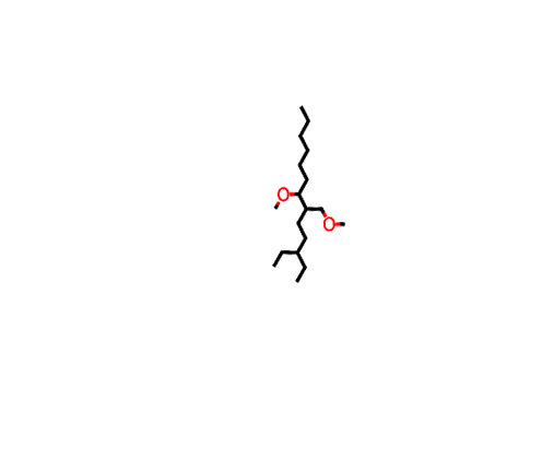 CCCCCCC(OC)C(CCC(CC)CC)COC